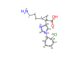 NCCCC1CC1(C(=O)O)c1cn(-c2ccccc2Cl)cn1